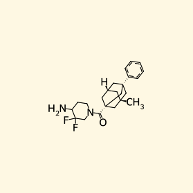 C[C@]12C[C@@H]3C[C@](C(=O)N4CCC(N)C(F)(F)C4)(C1)C[C@@](c1ccccc1)(C3)C2